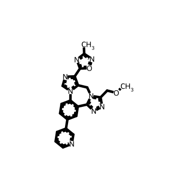 COCc1nnc2n1Cc1c(-c3nc(C)no3)ncn1-c1ccc(-c3cccnc3)cc1-2